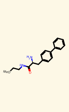 COCCNC(=O)[C@@H](N)Cc1ccc(-c2ccccc2)cc1